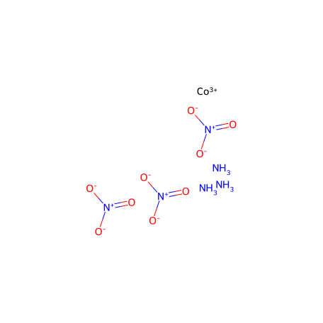 N.N.N.O=[N+]([O-])[O-].O=[N+]([O-])[O-].O=[N+]([O-])[O-].[Co+3]